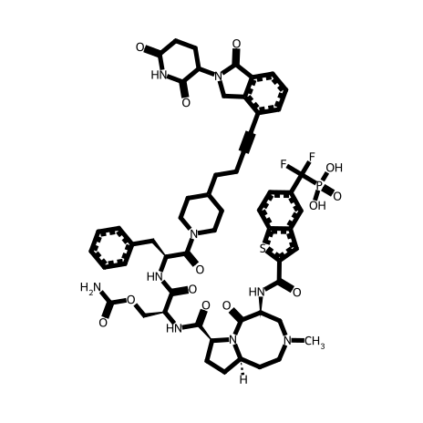 CN1CC[C@H]2CC[C@@H](C(=O)N[C@@H](COC(N)=O)C(=O)N[C@@H](Cc3ccccc3)C(=O)N3CCC(CCC#Cc4cccc5c4CN(C4CCC(=O)NC4=O)C5=O)CC3)N2C(=O)[C@@H](NC(=O)c2cc3cc(C(F)(F)P(=O)(O)O)ccc3s2)C1